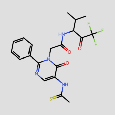 CC(=S)Nc1cnc(-c2ccccc2)n(CC(=O)NC(C(=O)C(F)(F)F)C(C)C)c1=O